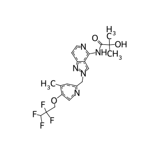 Cc1cc(Cn2cc3c(NC(=O)C(C)(C)O)nccc3n2)ncc1OCC(F)(F)C(F)F